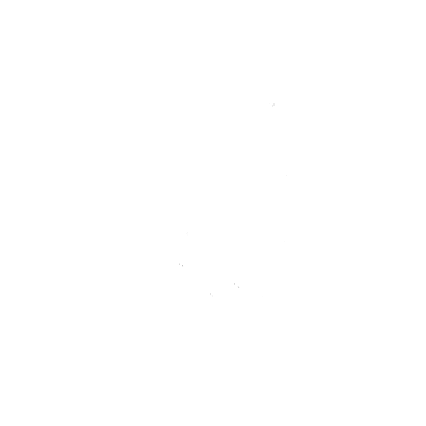 CC1=CN2C(=O)C(NC(=O)c3ccccc3C(=O)O)[C@H]2SC1C(=O)OCc1ccc([N+](=O)[O-])cc1